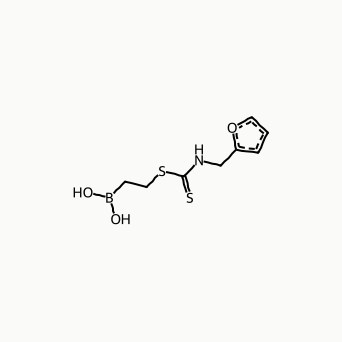 OB(O)CCSC(=S)NCc1ccco1